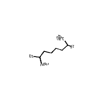 [CH2]CC(CCC)CCCCC(CC)CCCC